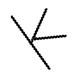 CCCCCCCCCCCCCCCCCCCCCCN(CCCCCCCCCCCCCCCCCCCCCC)CC[N+](CCCCCCCCCCCCCCCCCCCCCC)CCCCCCCCCCCCCCCCCCCCCC